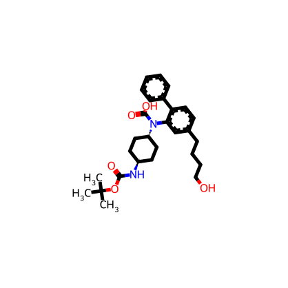 CC(C)(C)OC(=O)N[C@H]1CC[C@H](N(C(=O)O)c2cc(CCCCO)ccc2-c2ccccc2)CC1